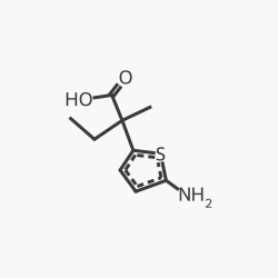 CCC(C)(C(=O)O)c1ccc(N)s1